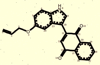 C=CCOc1ccc2[nH]cc(C3=CC(=O)c4ccccc4C3=O)c2c1